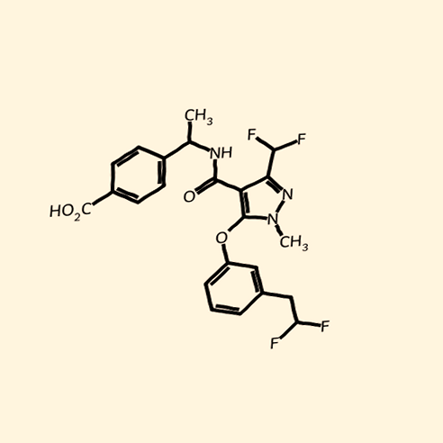 CC(NC(=O)c1c(C(F)F)nn(C)c1Oc1cccc(CC(F)F)c1)c1ccc(C(=O)O)cc1